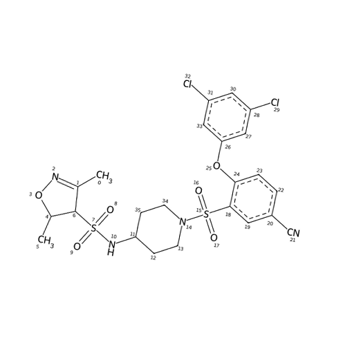 CC1=NOC(C)C1S(=O)(=O)NC1CCN(S(=O)(=O)c2cc(C#N)ccc2Oc2cc(Cl)cc(Cl)c2)CC1